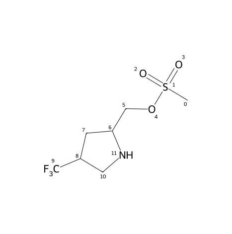 CS(=O)(=O)OCC1CC(C(F)(F)F)CN1